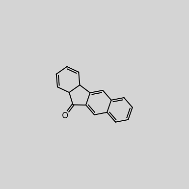 O=C1c2cc3ccccc3cc2C2C=CC=CC12